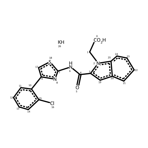 O=C(O)Cn1c(C(=O)Nc2nc(-c3ccccc3Cl)cs2)cc2ccccc21.[KH]